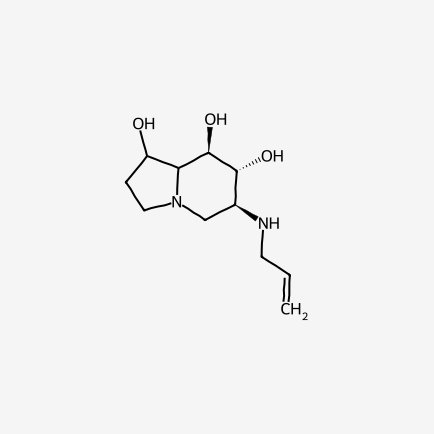 C=CCN[C@H]1CN2CCC(O)C2[C@@H](O)[C@@H]1O